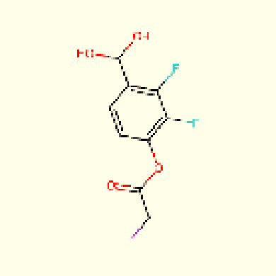 O=C(CI)Oc1ccc(C(O)O)c(F)c1F